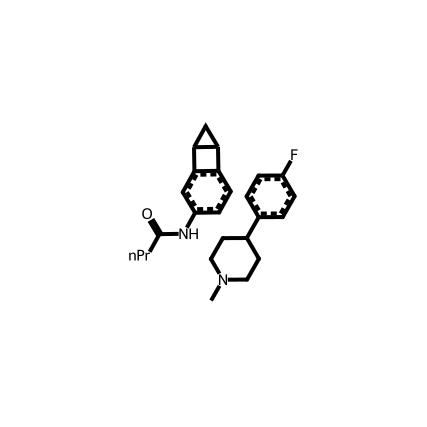 CCCC(=O)Nc1ccc2c(c1)C1CC21.CN1CCC(c2ccc(F)cc2)CC1